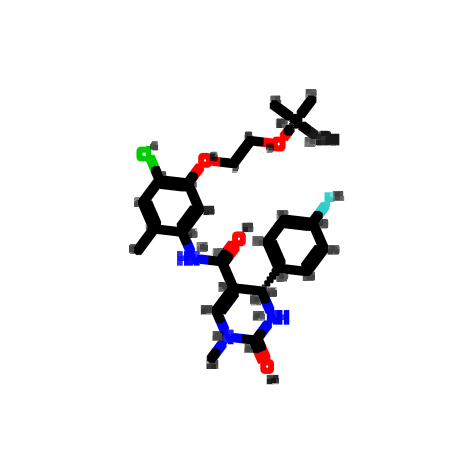 Cc1cc(Cl)c(OCCO[Si](C)(C)C(C)(C)C)cc1NC(=O)C1=CN(C)C(=O)N[C@H]1c1ccc(F)cc1